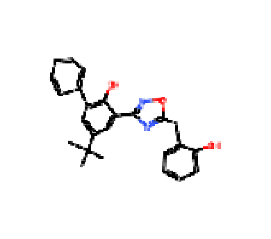 CC(C)(C)c1cc(-c2ccccc2)c(O)c(-c2noc(Cc3ccccc3O)n2)c1